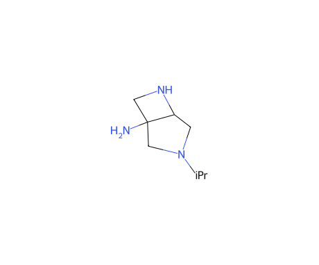 CC(C)N1CC2NCC2(N)C1